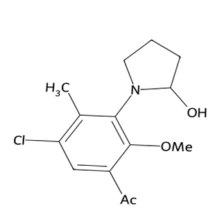 COc1c(C(C)=O)cc(Cl)c(C)c1N1CCCC1O